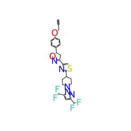 C#CCOc1ccc(C2CC(c3csc(C4CCN(n5nc(C(F)F)cc5C(F)F)CC4)n3)=NO2)cc1